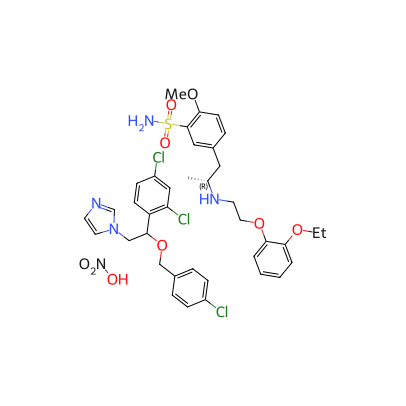 CCOc1ccccc1OCCN[C@H](C)Cc1ccc(OC)c(S(N)(=O)=O)c1.Clc1ccc(COC(Cn2ccnc2)c2ccc(Cl)cc2Cl)cc1.O=[N+]([O-])O